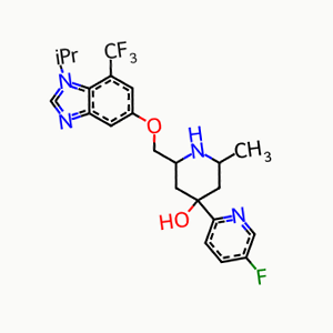 CC1CC(O)(c2ccc(F)cn2)CC(COc2cc(C(F)(F)F)c3c(c2)ncn3C(C)C)N1